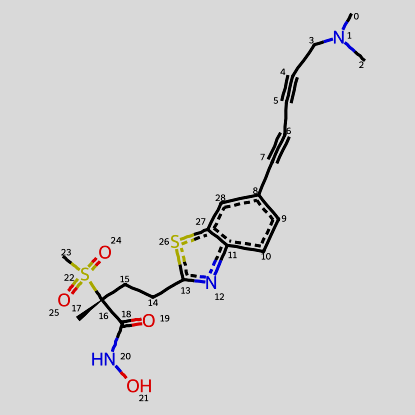 CN(C)CC#CC#Cc1ccc2nc(CC[C@](C)(C(=O)NO)S(C)(=O)=O)sc2c1